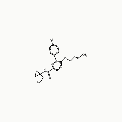 COCCOc1ncc(C(=O)NC2(CO)CC2)nc1-c1ccc(Cl)cc1